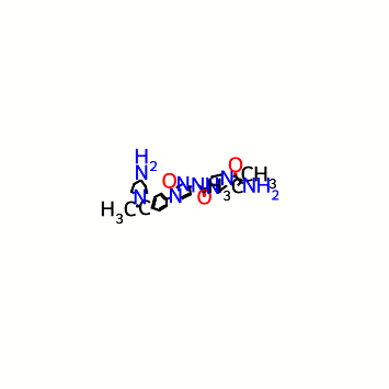 CC(Cc1ccc(-n2ccc(NC(=O)N3CCN(C(=O)C(C)(C)N)CC3)nc2=O)cc1)N1CCC(N)CC1